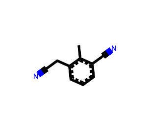 Cc1c(C#N)cccc1CC#N